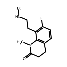 CCNCCc1c(F)ccc2c1N(C)C(=O)CC2